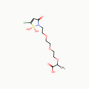 CC(OCCOCCOCCN1C(=O)C=C(Cl)S1(O)O)C(=O)O